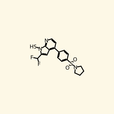 O=S(=O)(c1ccc(-c2ccnc3c2cc(C(F)F)n3S)cc1)N1CCCC1